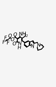 CCc1c(-c2ccc3c(c2)cc(CN2CCCCC2)n3C)[nH]c(=O)c(C(=O)OC(=O)C(F)(F)F)c1N